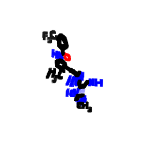 Cc1ccc(NC(=O)c2cccc(C(F)(F)F)c2)cc1C#Cc1cnc(/C(=C\C=N)Nc2cnn(C)c2)[nH]1